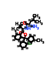 Cc1ccc(C(OC(=O)[C@H](NC(=O)[C@@H](N)CC(C)C)C(C)C)(c2ccccc2)c2ccccc2Cl)cc1